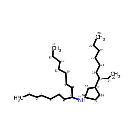 CCCCCCCC(CCCCCCC)NC1CCC([C@H](CC)CCCCCC)C1